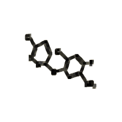 O=[N+]([O-])c1cc(Oc2ccc(Cl)nn2)c(Cl)cc1F